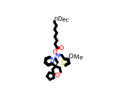 CCCCCCCCCCCCCCCCCC(=O)ON(CC[C@@]1(c2ccccn2)CCOC2(CCCC2)C1)Cc1sccc1OC